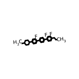 C=CC1CCC(c2ccc(-c3ccc(-c4ccc(CCC)c(F)c4F)cc3)c(F)c2)CC1